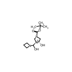 CC(C)(C)OC(=O)N1C[C@H](C(O)N2CCC2)[C@@H](O)C1